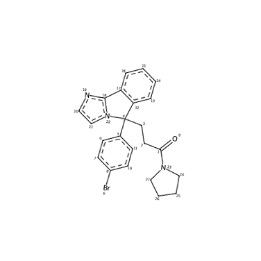 O=C(CCC1(c2ccc(Br)cc2)c2ccccc2-c2nccn21)N1CCCC1